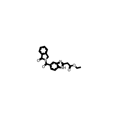 CCOC(=O)Cc1nc2cc(C(=O)N3Cc4ccccc4C3=O)ccc2[nH]1